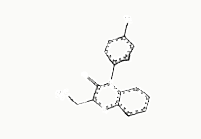 CCc1nc2ccccc2n(-c2ccc(Cl)cc2)c1=O